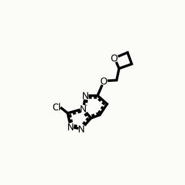 Clc1nnc2ccc(OCC3CCO3)nn12